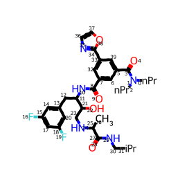 CCCN(CCC)C(=O)c1cc(C(=O)NC(Cc2cc(F)cc(F)c2)C(O)CNC(C)C(=O)NCC(C)C)cc(-c2ncco2)c1